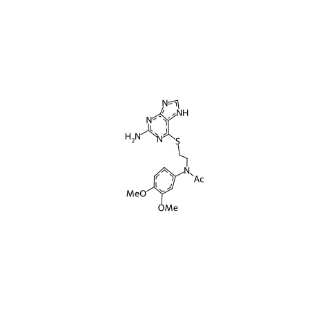 COc1ccc(N(CCSc2nc(N)nc3nc[nH]c23)C(C)=O)cc1OC